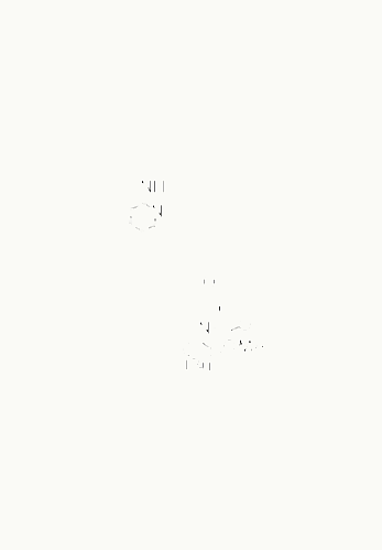 COC(=O)[C@H](CCO[C@H]1C[C@H](CCc2ccc3c(n2)NCCC3)C1)NC(=O)OC(C)(C)C